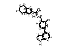 Cc1nc(-c2ccnc3[nH]ncc23)ccc1CNC(=O)c1cc2c(s1)CCCC2